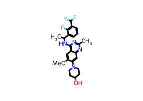 COc1cc2c(NC(C)c3cccc(C(F)F)c3F)nc(C)nc2cc1N1CCC(O)CC1